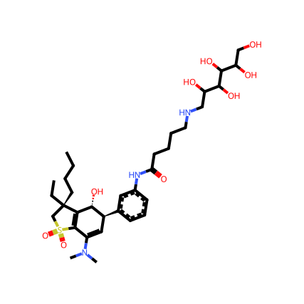 CCCC[C@]1(CC)CS(=O)(=O)C2=C1[C@H](O)[C@@H](c1cccc(NC(=O)CCCCNCC(O)C(O)C(O)C(O)CO)c1)C=C2N(C)C